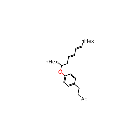 CCCCCCC=CC=CCC(CCCCCC)Oc1ccc(CCC(C)=O)cc1